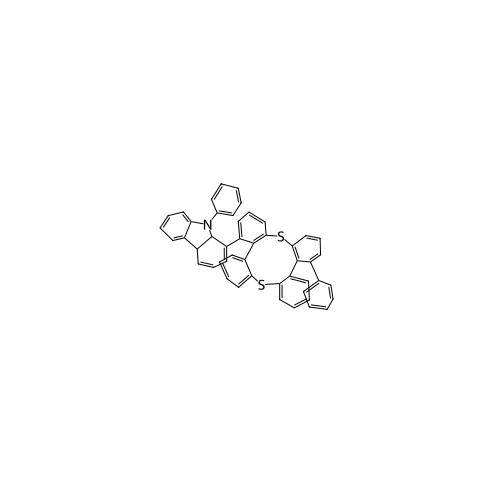 C1=CC2c3ccccc3N(c3ccccc3)C2C(c2cccc3c2-c2ccccc2Sc2ccccc2-c2c(cccc2-c2ccccc2)S3)=C1